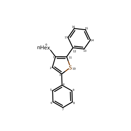 CCCCCCc1cc(-c2ccccc2)sc1-c1ccccc1